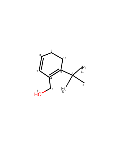 CCC(C)(C1=C(CO)C=CCC1)C(C)C